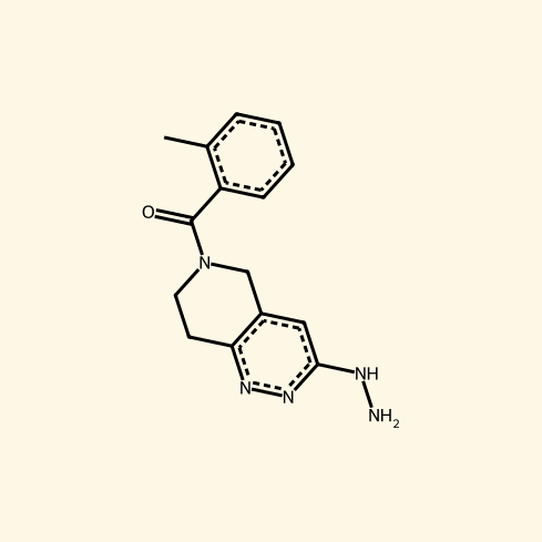 Cc1ccccc1C(=O)N1CCc2nnc(NN)cc2C1